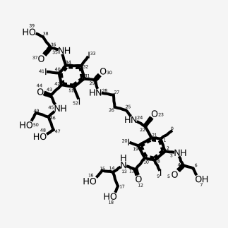 Cc1c(NC(=O)CO)c(I)c(C(=O)NC(CO)CO)c(I)c1C(=O)NCCCNC(=O)c1c(I)c(NC(=O)CO)c(I)c(C(=O)NC(CO)CO)c1I